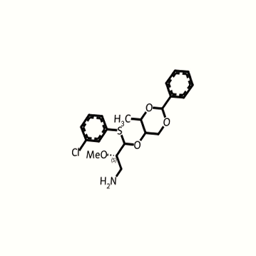 CO[C@@H](CN)C(OC1COC(c2ccccc2)OC1C)Sc1cccc(Cl)c1